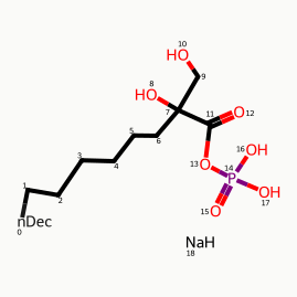 CCCCCCCCCCCCCCCCC(O)(CO)C(=O)OP(=O)(O)O.[NaH]